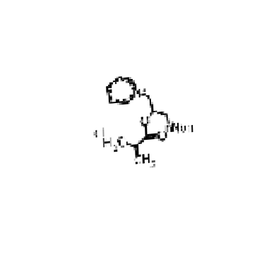 C=C(C)C(=O)OC(CCCCCCCCCC)C[n+]1ccccc1.[Cl-]